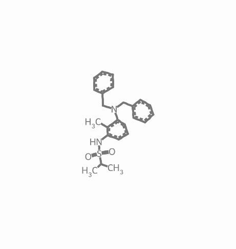 Cc1c(NS(=O)(=O)C(C)C)cccc1N(Cc1ccccc1)Cc1ccccc1